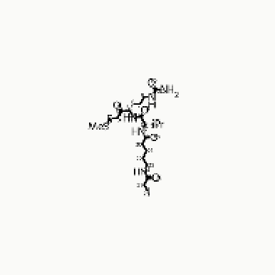 CSSCC(=O)[C@H](CCCNC(N)=O)NC(=O)[C@@H](NC(=O)CCCCNC(=O)CI)C(C)C